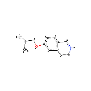 CC(C)COc1ccc2c(c1)CCN=C2